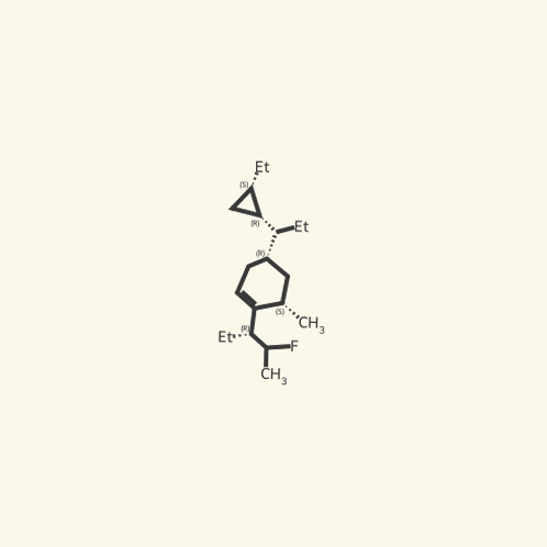 CCC([C@H]1CC=C([C@@H](CC)C(C)F)[C@@H](C)C1)[C@@H]1C[C@@H]1CC